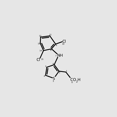 O=C(O)Cc1sccc1Nc1c(Cl)cccc1Cl